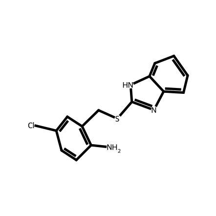 Nc1ccc(Cl)cc1CSc1nc2ccccc2[nH]1